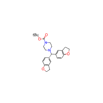 CC(C)(C)OC(=O)N1CCN(C(c2ccc3c(c2)CCO3)c2ccc3c(c2)CCO3)CC1